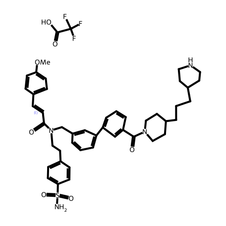 COc1ccc(/C=C/C(=O)N(CCc2ccc(S(N)(=O)=O)cc2)Cc2cccc(-c3cccc(C(=O)N4CCC(CCCC5CCNCC5)CC4)c3)c2)cc1.O=C(O)C(F)(F)F